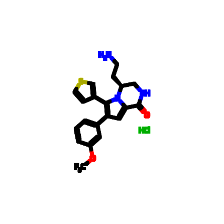 Cl.NCC[C@H]1CNC(=O)c2cc(-c3cccc(OC(F)(F)F)c3)c(-c3ccsc3)n21